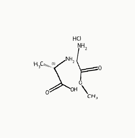 COC(=O)CN.C[C@H](N)C(=O)O.Cl